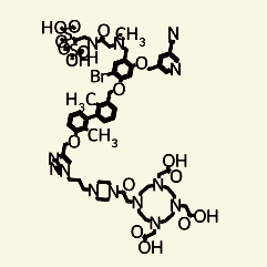 Cc1c(COc2cc(OCc3cncc(C#N)c3)c(CN(C)CC(=O)NCC(S(=O)(=O)O)S(=O)(=O)O)cc2Br)cccc1-c1cccc(OCc2cn(CCCN3CCN(C(=O)CN4CCN(CC(=O)O)CCN(CC(=O)O)CCN(CC(=O)O)CC4)CC3)nn2)c1C